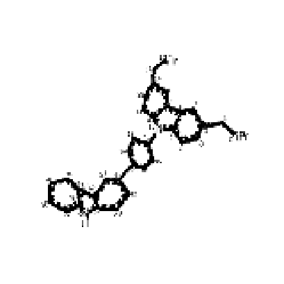 CC(C)Cc1ccc2c(c1)c1cc(CC(C)C)ccc1n2-c1ccc(-c2ccc3[nH]c4ccccc4c3c2)cc1